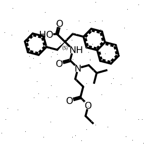 CCOC(=O)CCN(CC(C)C)C(=O)N[C@@](Cc1ccccc1)(Cc1ccc2ccccc2c1)C(=O)O